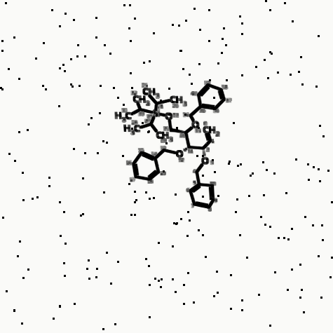 C=C[C@H](OCc1ccccc1)[C@H](OCc1ccccc1)[C@@H](CO[Si](C(C)C)(C(C)C)C(C)C)OCc1ccccc1